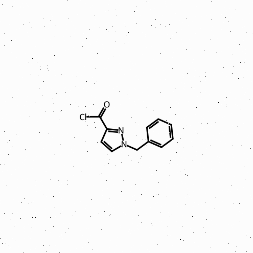 O=C(Cl)c1ccn(Cc2ccccc2)n1